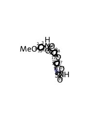 COc1ccc(NS(=O)(=O)c2ccc(Oc3ccc(/C=C4/SC(=O)NC4=O)cc3)cc2)cc1